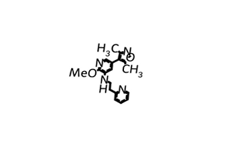 COc1ncc(-c2c(C)noc2C)cc1NCCc1ccccn1